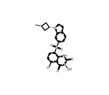 O=c1[nH]c2c(S(=O)(=O)c3ccc4ccn([C@H]5C[C@H](F)C5)c4c3)ccc(Cl)c2c(=O)n1O